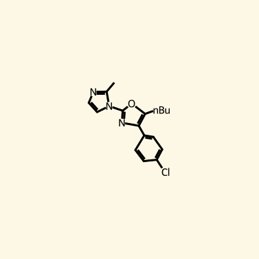 [CH2]CCCc1oc(-n2ccnc2C)nc1-c1ccc(Cl)cc1